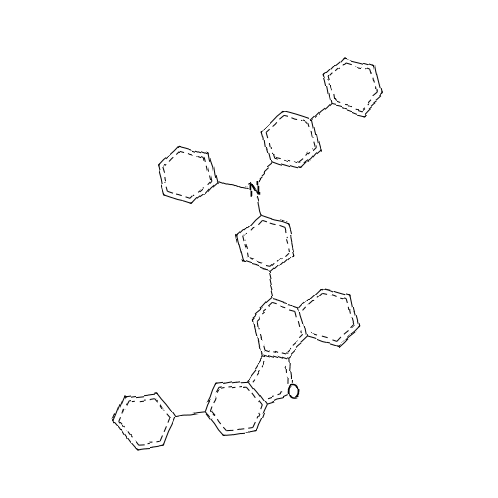 c1ccc(-c2ccc(N(c3ccccc3)c3ccc(-c4cc5c6cc(-c7ccccc7)ccc6oc5c5ccccc45)cc3)cc2)cc1